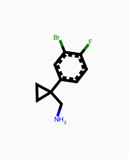 NCC1(c2ccc(F)c(Br)c2)CC1